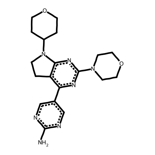 Nc1ncc(-c2nc(N3CCOCC3)nc3c2CCN3C2CCOCC2)cn1